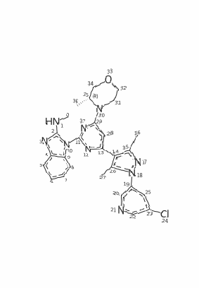 CNc1nc2ccccc2n1-c1nc(-c2c(C)nn(-c3cncc(Cl)c3)c2C)cc(N2CCOC[C@H]2C)n1